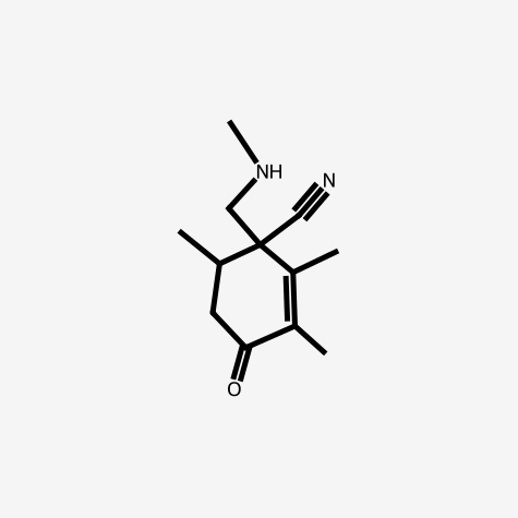 CNCC1(C#N)C(C)=C(C)C(=O)CC1C